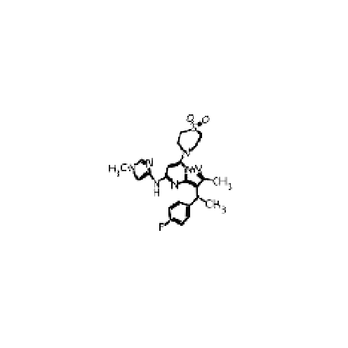 Cc1nn2c(N3CCS(=O)(=O)CC3)cc(Nc3cn(C)cn3)nc2c1[C@@H](C)c1ccc(F)cc1